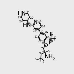 CC(C)CC(C)(N)COc1ccc(-c2ccnc(NC3CCNCC3)c2)cc1C(F)(F)F